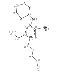 COc1cc(NC2CCOCC2)c(N)cc1OCCCCl